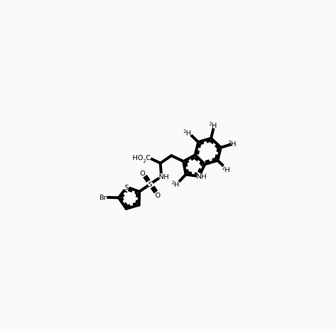 [2H]c1[nH]c2c([2H])c([2H])c([2H])c([2H])c2c1CC(NS(=O)(=O)c1ccc(Br)s1)C(=O)O